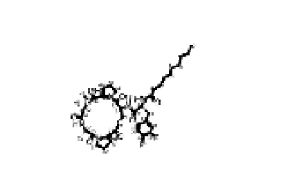 CCCCCCCCCC(=O)N[C@@H](Cc1ccc(F)c(F)c1)C(=O)N[C@H]1COC(=O)[C@@H]2CCCN2C(=O)[C@H](C)NC(=O)[C@H](C)N(C)C(=O)[C@@H]2CCCN2C1=O